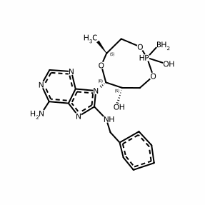 B[PH]1(O)OC[C@H](C)O[C@@H](n2c(NCc3ccccc3)nc3c(N)ncnc32)[C@@H](O)CO1